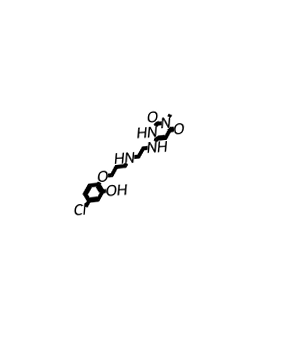 Cn1c(=O)cc(NCCNCCCOc2ccc(Cl)cc2O)[nH]c1=O